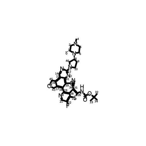 C[C@@H]1CN(C)CCN1[C@H]1CCN(c2ncc3c4c(c(-c5ncc(F)c6sc(NC(=O)OC(C)(C)C)c(C#N)c56)c(F)c3n2)COC4)C1